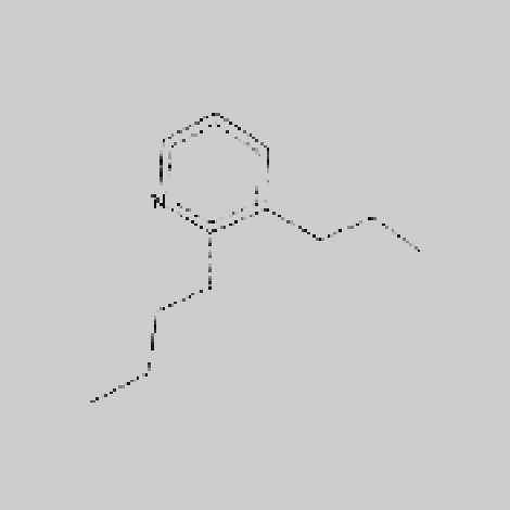 CCCCc1ncccc1CCC